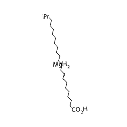 CC(C)CCCCCCCCCCCCCCCCCCCCC(=O)O.[MgH2]